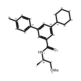 COC[C@@H](C)NC(=O)c1cc(-c2ccc(C)cc2)cc(C2CCCCC2)c1